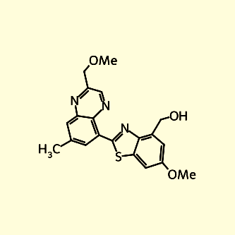 COCc1cnc2c(-c3nc4c(CO)cc(OC)cc4s3)cc(C)cc2n1